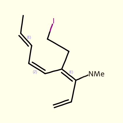 C=C\C(NC)=C(/C=C\C=C\C)CCI